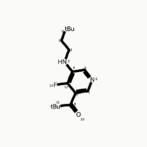 CC(C)(C)CCNc1cncc(C(=O)C(C)(C)C)c1F